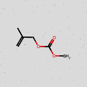 BOC(=O)OCC(=C)C